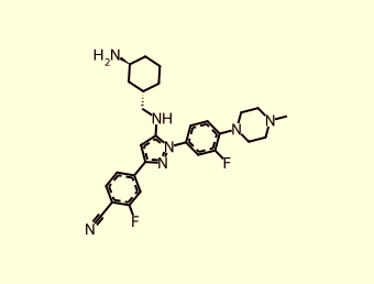 CN1CCN(c2ccc(-n3nc(-c4ccc(C#N)c(F)c4)cc3NC[C@H]3CCC[C@H](N)C3)cc2F)CC1